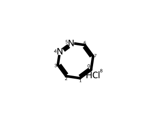 C1=CC=CN=NC=C1.Cl